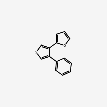 [c]1scc(-c2ccccc2)c1-c1ccco1